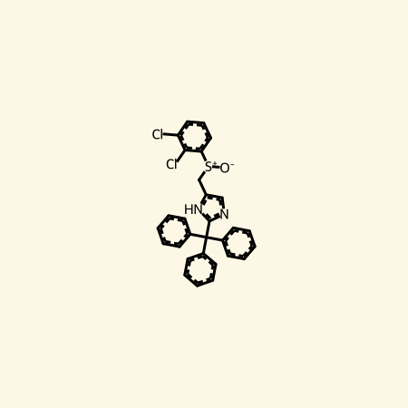 [O-][S+](Cc1cnc(C(c2ccccc2)(c2ccccc2)c2ccccc2)[nH]1)c1cccc(Cl)c1Cl